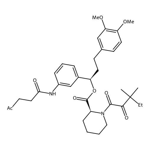 CCC(C)(C)C(=O)C(=O)N1CCCC[C@H]1C(=O)O[C@H](CCc1ccc(OC)c(OC)c1)c1cccc(NC(=O)CCC(C)=O)c1